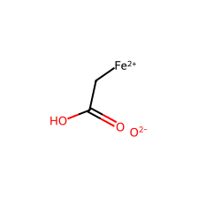 O=C(O)[CH2][Fe+2].[O-2]